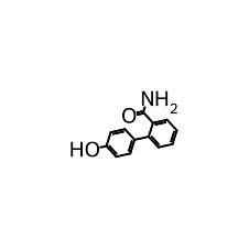 NC(=O)c1ccccc1-c1ccc(O)cc1